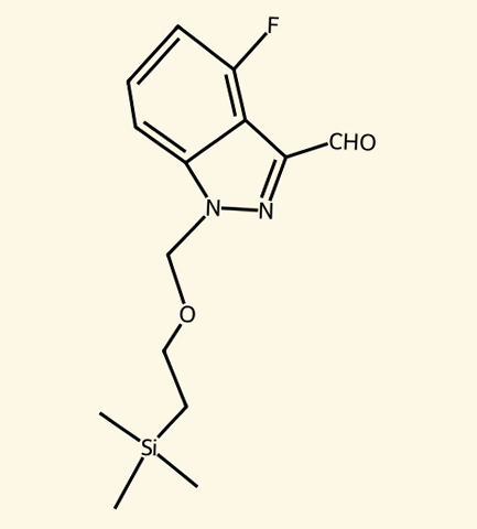 C[Si](C)(C)CCOCn1nc(C=O)c2c(F)cccc21